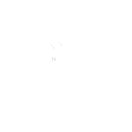 c1ccc2c(c1)ccc1cnnnc12